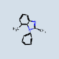 Cc1cccc2nc(C)n(-c3ccccc3)c12